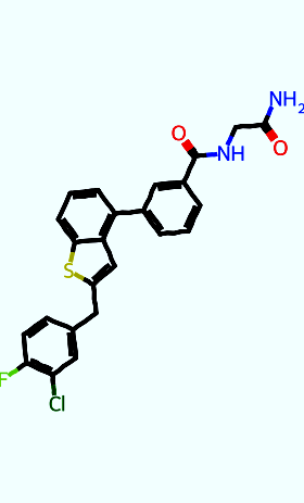 NC(=O)CNC(=O)c1cccc(-c2cccc3sc(Cc4ccc(F)c(Cl)c4)cc23)c1